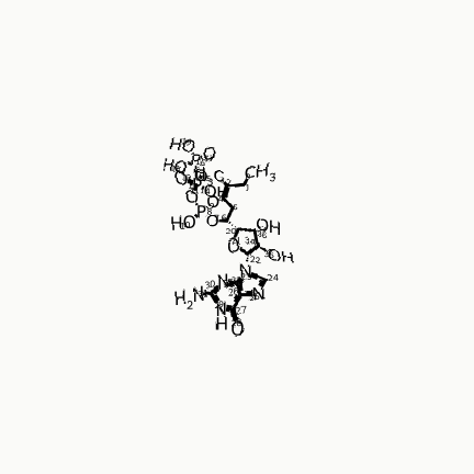 CCC(C)=CCC(OP(=O)(O)OP(=O)(O)OP(=O)(O)O)[C@H]1O[C@@H](n2cnc3c(=O)[nH]c(N)nc32)[C@H](O)[C@@H]1O